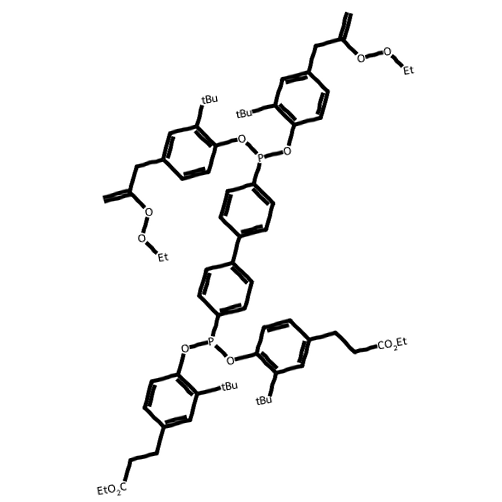 C=C(Cc1ccc(OP(Oc2ccc(CC(=C)OOCC)cc2C(C)(C)C)c2ccc(-c3ccc(P(Oc4ccc(CCC(=O)OCC)cc4C(C)(C)C)Oc4ccc(CCC(=O)OCC)cc4C(C)(C)C)cc3)cc2)c(C(C)(C)C)c1)OOCC